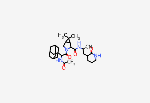 CC1(C)C2CN(C(=O)C(NC(=O)C(F)(F)F)C34CC5CC(CC(C5)C3)C4)C(C(=O)NC(C#N)CC3CCCNC3=O)C21